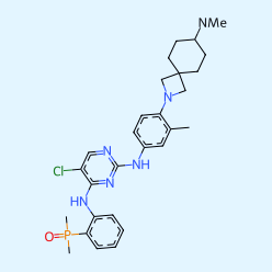 CNC1CCC2(CC1)CN(c1ccc(Nc3ncc(Cl)c(Nc4ccccc4P(C)(C)=O)n3)cc1C)C2